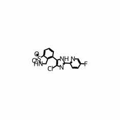 O=S1(=O)NCc2c(-c3[nH]c(-c4ccc(F)cn4)nc3Cl)cccc21